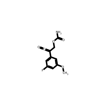 COc1cc(F)cc(C(=C=O)COC(N)=O)c1